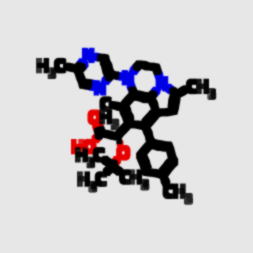 Cc1ccc(-c2c([C@H](OC(C)(C)C)C(=O)O)c(C)c3c4c2cc(C)n4CCN3c2cnc(C)cn2)cc1